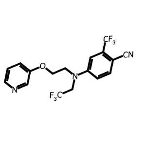 N#Cc1ccc(N(CCOc2cccnc2)CC(F)(F)F)cc1C(F)(F)F